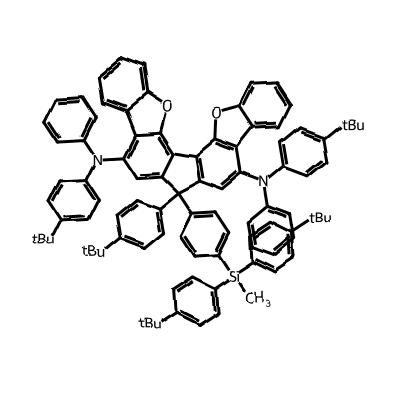 CC(C)(C)c1ccc(N(c2ccccc2)c2cc3c(c4oc5ccccc5c24)-c2c(cc(N(c4ccccc4)c4ccc(C(C)(C)C)cc4)c4c2oc2ccccc24)C3(c2ccc(C(C)(C)C)cc2)c2ccc([Si](C)(c3ccc(C(C)(C)C)cc3)c3ccc(C(C)(C)C)cc3)cc2)cc1